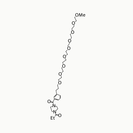 CCC(=O)N1CCN(C(=O)c2cccc(CCCOCCOCCOCCOCCOCCOCCOCCOCCOC)c2)CC1